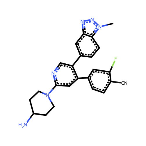 Cn1nnc2cc(-c3cnc(N4CCC(N)CC4)cc3-c3ccc(C#N)c(F)c3)ccc21